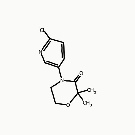 CC1(C)OCCN(c2ccc(Cl)nc2)C1=O